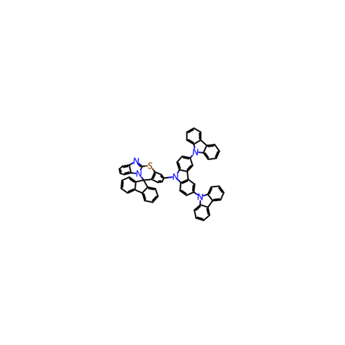 c1ccc2c(c1)-c1ccccc1C21c2ccc(-n3c4ccc(-n5c6ccccc6c6ccccc65)cc4c4cc(-n5c6ccccc6c6ccccc65)ccc43)cc2Sc2nc3ccccc3n21